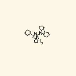 Cc1cc(-c2ccccc2)nc(-n2c3ccccc3c3ccccc32)n1